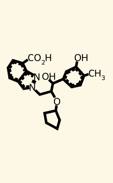 Cc1ccc(C(O)C(Cn2cc3cccc(C(=O)O)c3n2)OC2CCCC2)cc1O